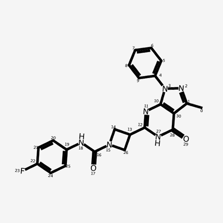 Cc1nn(-c2ccccc2)c2nc(C3CN(C(=O)Nc4ccc(F)cc4)C3)[nH]c(=O)c12